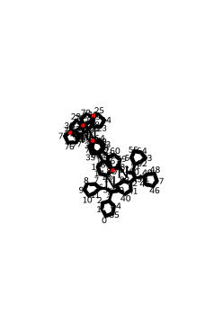 c1ccc(-c2c(-c3ccccc3)n(-c3ccc(-c4ccc(-n5c6ccccc6c6ccccc65)cc4)cc3)c3c2ccc2c(-c4ccccc4)c(-c4ccccc4)n(-c4ccc(-c5ccc(-n6c7ccccc7c7ccccc76)cc5)cc4)c23)cc1